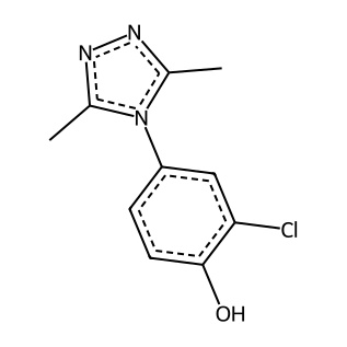 Cc1nnc(C)n1-c1ccc(O)c(Cl)c1